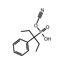 CCC(CC)(c1ccccc1)P(=O)(O)OC#N